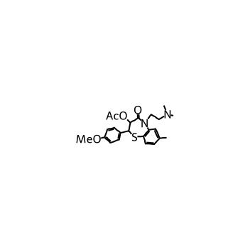 COc1ccc(C2Sc3ccc(C)cc3N(CCN(C)C)C(=O)C2OC(C)=O)cc1